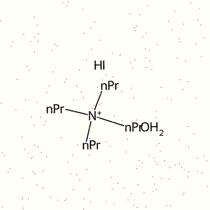 CCC[N+](CCC)(CCC)CCC.I.O